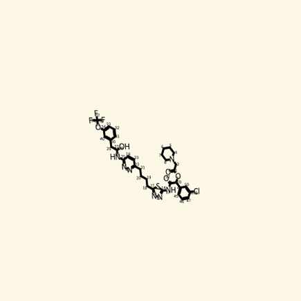 O=C(CN1CCCCC1)OC(C(=O)Nc1nnc(CCCCc2ccc(NC(O)Cc3cccc(OC(F)(F)F)c3)nn2)s1)c1cccc(Cl)c1